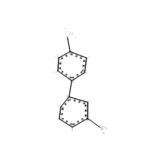 [CH2]c1ccc(-c2cccc(C(C)C)c2)cc1